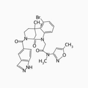 Cc1cc(N(C)C(=O)CN(C=O)c2cccc(Br)c2C2(C)CCN(C(=O)c3ccc4[nH]ncc4c3)CC2)no1